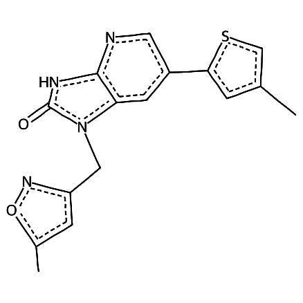 Cc1csc(-c2cnc3[nH]c(=O)n(Cc4cc(C)on4)c3c2)c1